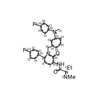 CC[C@H](NC)C(=O)Nc1ccc(-c2ccc(F)cc2)n(Cc2cccc(N(C)c3ccc(F)cc3)c2)c1=O